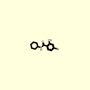 N#Cc1cc(Br)ccc1C(=O)NC1CCCCC1